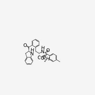 Cc1ccc(S(=O)(=O)N[C@@H](Cc2ccccc2C(=O)[C@@H]2Cc3ccccc3N2)C(=O)O)cc1